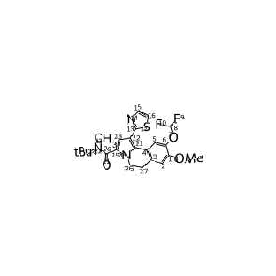 COc1cc2c(cc1OC(F)F)-c1c(-c3nccs3)cc(C(=O)N(C)C(C)(C)C)n1CC2